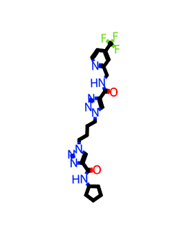 O=C(NCc1cc(C(F)(F)F)ccn1)c1cn(CCCCn2cc(C(=O)NC3CCCC3)nn2)nn1